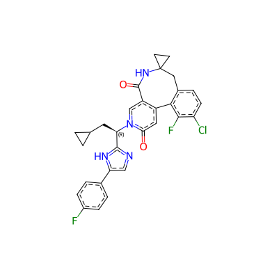 O=C1NC2(CC2)Cc2ccc(Cl)c(F)c2-c2cc(=O)n([C@H](CC3CC3)c3ncc(-c4ccc(F)cc4)[nH]3)cc21